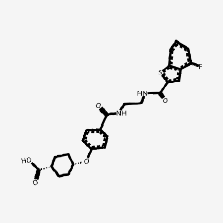 O=C(NCCNC(=O)c1cc2c(F)cccc2s1)c1ccc(O[C@H]2CC[C@@H](C(=O)O)CC2)cc1